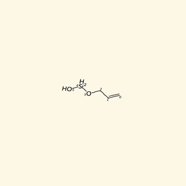 C=CCO[SiH2]O